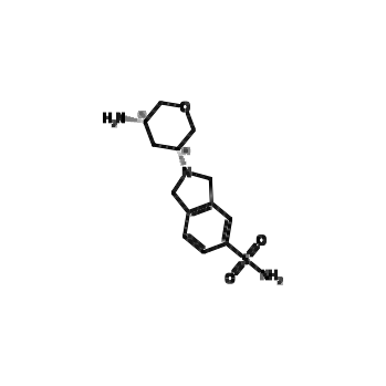 N[C@@H]1COC[C@H](N2Cc3ccc(S(N)(=O)=O)cc3C2)C1